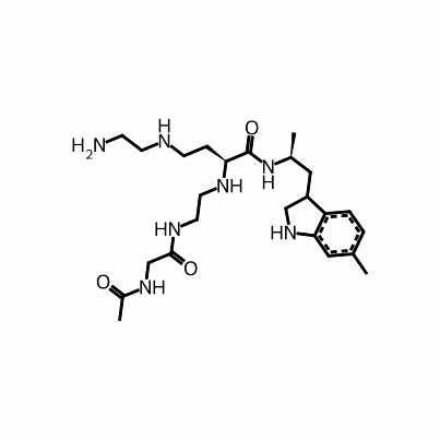 CC(=O)NCC(=O)NCCN[C@@H](CCNCCN)C(=O)N[C@@H](C)CC1CNc2cc(C)ccc21